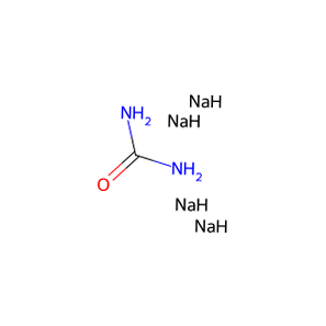 NC(N)=O.[NaH].[NaH].[NaH].[NaH]